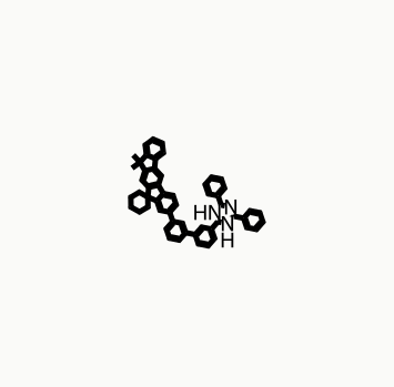 CC1(C)c2ccccc2-c2cc3c(cc21)C1(CCCCC1)c1cc(-c2cccc(-c4cccc(C5NC(c6ccccc6)=NC(c6ccccc6)N5)c4)c2)ccc1-3